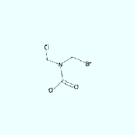 O=C(Cl)N(CCl)CBr